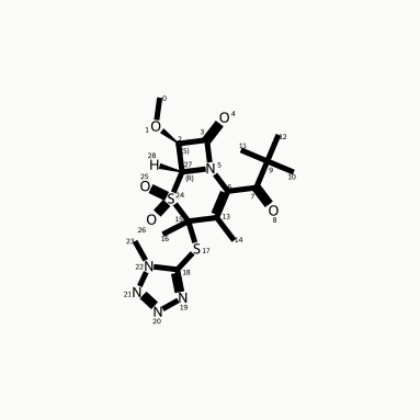 CO[C@H]1C(=O)N2C(C(=O)C(C)(C)C)=C(C)C(C)(Sc3nnnn3C)S(=O)(=O)[C@H]12